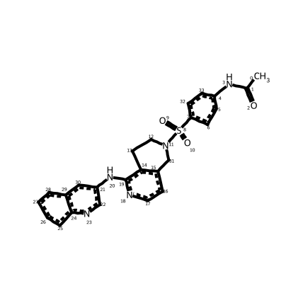 CC(=O)Nc1ccc(S(=O)(=O)N2CCc3c(ccnc3Nc3cnc4ccccc4c3)C2)cc1